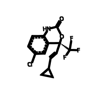 O=C1Nc2ccc(Cl)cc2[C@@](/C=C/C2CC2)(C(F)(F)F)O1